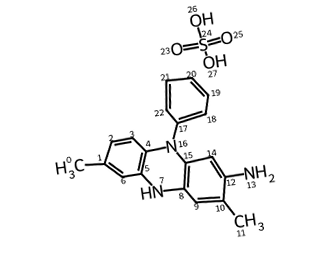 Cc1ccc2c(c1)Nc1cc(C)c(N)cc1N2c1ccccc1.O=S(=O)(O)O